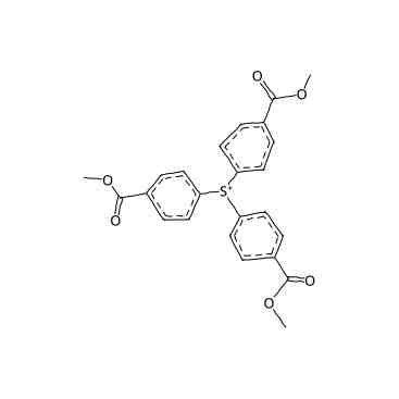 COC(=O)c1ccc([S+](c2ccc(C(=O)OC)cc2)c2ccc(C(=O)OC)cc2)cc1